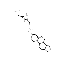 C[C@H]1CCC2C3CCC4=CC(=NOCCc5nc(CN(C)C)no5)CC[C@]4(C)C3CC[C@@]21C